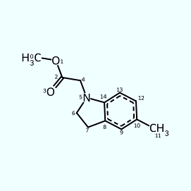 COC(=O)CN1CCc2cc(C)ccc21